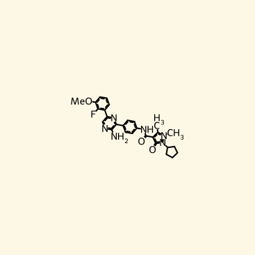 COc1cccc(-c2cnc(N)c(-c3ccc(NC(=O)c4c(C)n(C)n(C5CCCC5)c4=O)cc3)n2)c1F